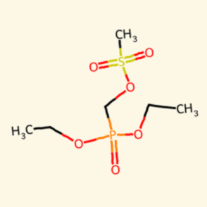 CCOP(=O)(COS(C)(=O)=O)OCC